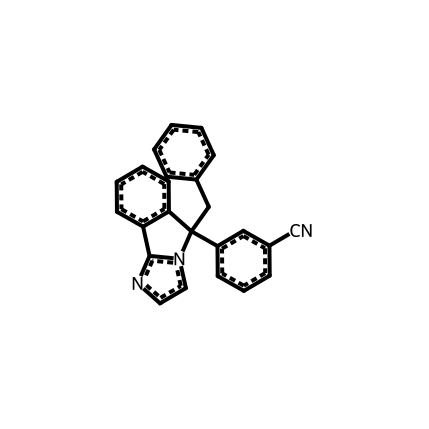 N#Cc1cccc(C2(Cc3ccccc3)c3ccccc3-c3nccn32)c1